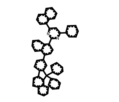 c1ccc(-c2cc(-c3cccc4ccccc34)nc(-c3ccc(-c4ccc5c(c4)C(c4ccccc4)(c4ccccc4)c4c-5ccc5ccccc45)c4ccccc34)n2)cc1